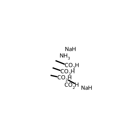 CC(=O)O.CC(=O)O.CC(=O)O.CC(=O)O.N.[NaH].[NaH]